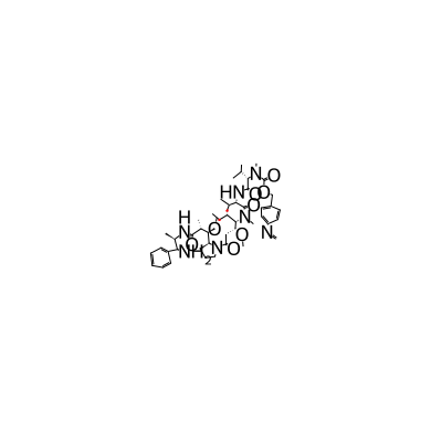 C=Nc1ccc(COC(=O)N(C)[C@H](C(=O)N[C@H](C(=O)N(C)[C@@H]([C@@H](C)CC)[C@@H](CC(=O)N2CCC[C@H]2[C@H](OC)[C@@H](C)C(=O)N[C@H](C)[C@@H](N)c2ccccc2)OC)C(C)C)C(C)C)cc1